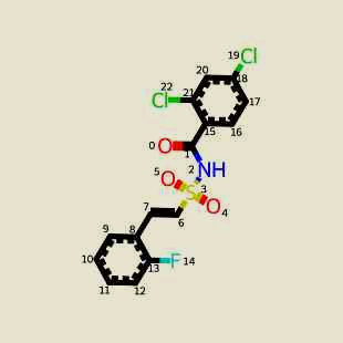 O=C(NS(=O)(=O)/C=C/c1ccccc1F)c1ccc(Cl)cc1Cl